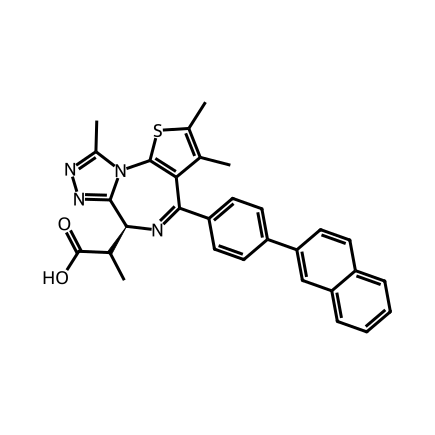 Cc1sc2c(c1C)C(c1ccc(-c3ccc4ccccc4c3)cc1)=N[C@@H](C(C)C(=O)O)c1nnc(C)n1-2